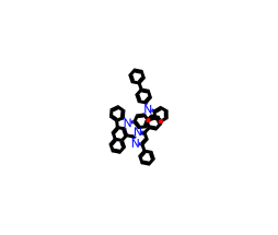 c1ccc(-c2ccc(-n3c4ccccc4c4ccc(-n5c6ccccc6c6cc7ccccc7c(-c7nc(-c8ccccc8)cc(-c8ccccc8)n7)c65)cc43)cc2)cc1